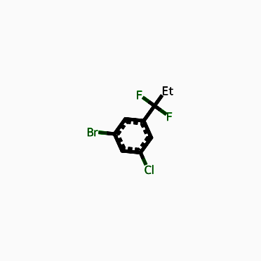 CCC(F)(F)c1cc(Cl)cc(Br)c1